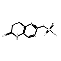 NS(=O)(=O)Cc1ccc2c(c1)CCC(=O)N2